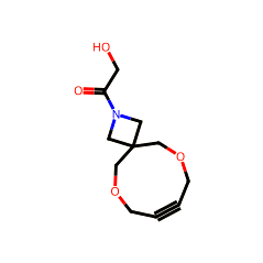 O=C(CO)N1CC2(COCC#CCOC2)C1